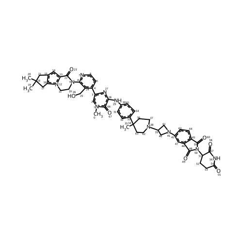 Cn1cc(-c2ccnc(N3CCn4c(cc5c4CC(C)(C)C5)C3=O)c2CO)nc(Nc2ccc(C3(C)CCN(C4CN(c5ccc6c(c5)C(=O)N(C5CCC(=O)NC5=O)C6=O)C4)CC3)cc2)c1=O